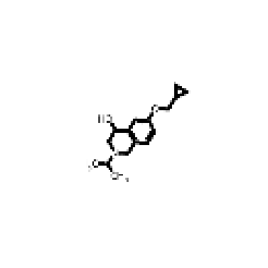 CC(C)N1Cc2ccc(OCC3CC3)cc2C(O)C1